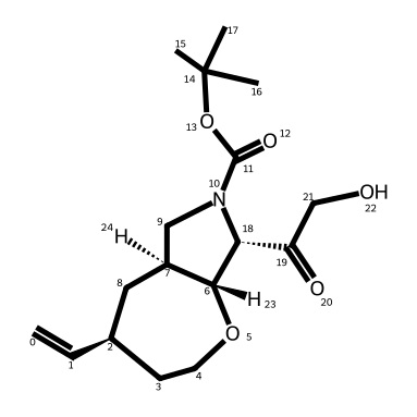 C=C[C@@H]1CCO[C@@H]2[C@@H](C1)CN(C(=O)OC(C)(C)C)[C@@H]2C(=O)CO